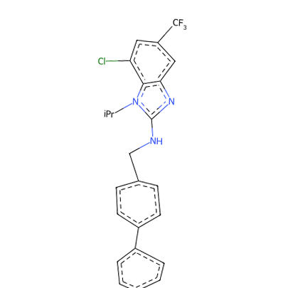 CC(C)n1c(NCc2ccc(-c3ccccc3)cc2)nc2cc(C(F)(F)F)cc(Cl)c21